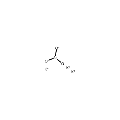 [K+].[K+].[K+].[O-][As]([O-])[O-]